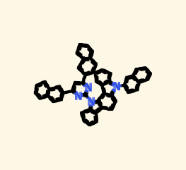 c1ccc2cc(-c3cc(-c4ccc5ccccc5c4)nc(-n4c5ccccc5c5ccc6c(c7ccccc7n6-c6ccc7ccccc7c6)c54)n3)ccc2c1